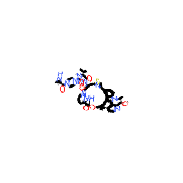 CCn1c(-c2cccnc2[C@H](C)OC)c2c3cc(ccc31)-c1csc(n1)C[C@H](NC(=O)[C@H](C(C)C)N(C)C(=O)N1CCN(C(=O)[C@H]3CN3)CC1)C(=O)N1CCC[C@H](N1)C(=O)OCC(C)(C)C2